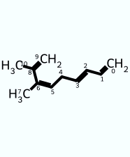 C=CC=CCC=C(C)C(=C)C